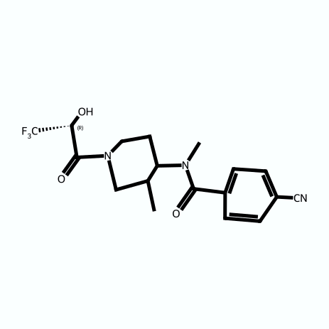 CC1CN(C(=O)[C@@H](O)C(F)(F)F)CCC1N(C)C(=O)c1ccc(C#N)cc1